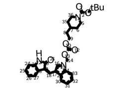 CC(C)(C)OC(=O)N1CCC(CCOC(=O)OCn2cc(/C=C3\C(=O)Nc4ccccc43)c3ccccc32)CC1